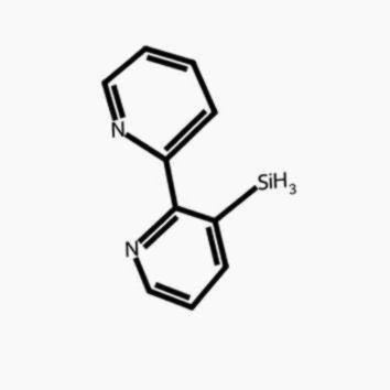 [SiH3]c1cccnc1-c1ccccn1